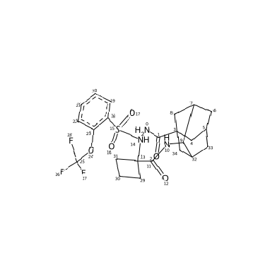 NC(=O)C12CC3CC(C1)C(NC(=O)C1(NS(=O)(=O)c4ccccc4OC(F)(F)F)CCC1)C(C3)C2